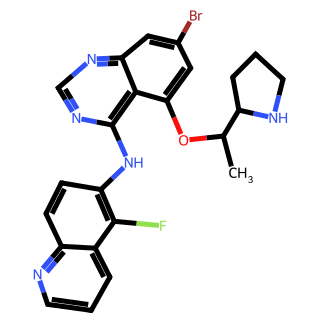 CC(Oc1cc(Br)cc2ncnc(Nc3ccc4ncccc4c3F)c12)C1CCCN1